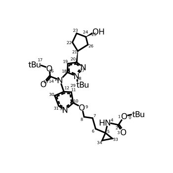 CC(C)(C)OC(=O)NC1(CCCOc2cc(N(C(=O)OC(C)(C)C)c3cc([C@H]4CC[C@@H](O)C4)nn3C(C)(C)C)ccn2)CC1